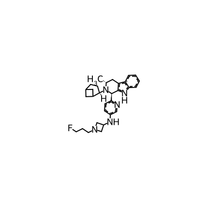 C[C@@H]1Cc2c([nH]c3ccccc23)[C@@H](c2ccc(NC3CN(CCCF)C3)cn2)N1[C@@H]1CCC2CC1C2